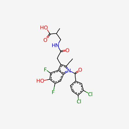 Cc1c(CC(=O)NCC(C)C(=O)O)c2c(F)c(O)c(F)cc2n1C(=O)c1ccc(Cl)c(Cl)c1